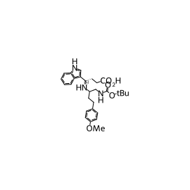 COc1ccc(CCC(CNC(=O)OC(C)(C)C)N[C@@H](CCC(=O)O)c2c[nH]c3ccccc23)cc1